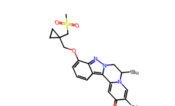 CC(C)(C)C1Cn2nc3c(OCC4(CS(C)(=O)=O)CC4)cccc3c2-c2cc(=O)c(C(=O)O)cn21